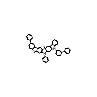 CC12Cc3c(n(-c4cccc(-c5ccccc5)c4)c4ccccc34)C=C1N(c1ccccc1)c1cc3oc4ccc(-c5ccccc5)cc4c3cc12